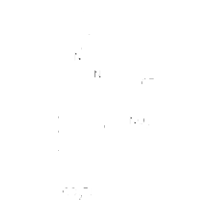 CCOC(=O)c1ccc(-n2nc(C)cc2C(F)(F)F)c([N+](=O)[O-])c1